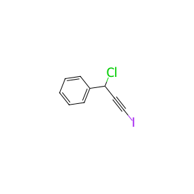 ClC(C#CI)c1ccccc1